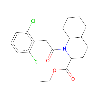 CCOC(=O)C1CCC2CCCCC2N1C(=O)Cc1c(Cl)cccc1Cl